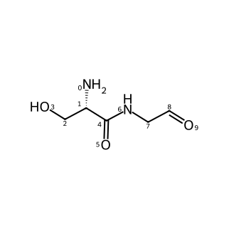 N[C@@H](CO)C(=O)NCC=O